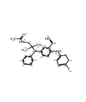 CC(C)(CNC(=O)C(F)(F)F)[C@H](c1ccccc1)c1ccc(NC2=CC=C(F)CC2)c(C=N)c1